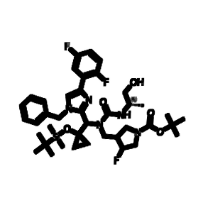 C[C@@H](CO)NC(=O)N(CC1CN(C(=O)OC(C)(C)C)CC1F)C(c1nc(-c2cc(F)ccc2F)cn1Cc1ccccc1)C1(O[Si](C)(C)C(C)(C)C)CC1